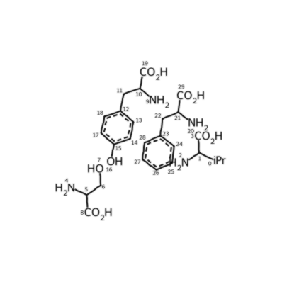 CC(C)C(N)C(=O)O.NC(CO)C(=O)O.NC(Cc1ccc(O)cc1)C(=O)O.NC(Cc1ccccc1)C(=O)O